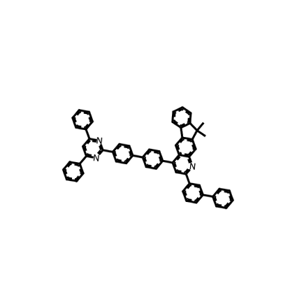 CC1(C)c2ccccc2-c2cc3c(-c4ccc(-c5ccc(-c6nc(-c7ccccc7)cc(-c7ccccc7)n6)cc5)cc4)cc(-c4cccc(-c5ccccc5)c4)nc3cc21